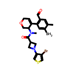 Bc1cc(C2=CCOCC2N(C)C(=O)C2CN(c3cscc3Br)C2)c(C=O)cc1C